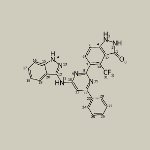 O=c1[nH][nH]c2ccc(-c3nc(Nc4n[nH]c5ccccc45)cc(-c4ccccc4)n3)c(C(F)(F)F)c12